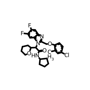 Cc1cc(Cl)ccc1OCc1nc2cc(F)c(F)cc2n1C(C(=O)NC1CCCC1)C1CCCCO1